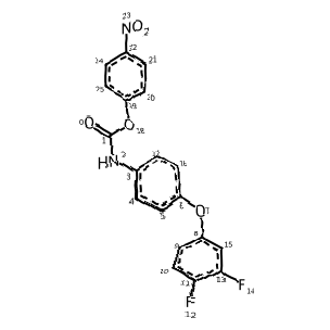 O=C(Nc1ccc(Oc2ccc(F)c(F)c2)cc1)Oc1ccc([N+](=O)[O-])cc1